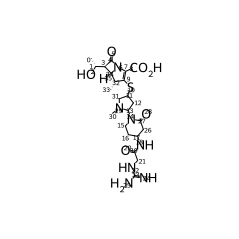 C[C@@H](O)[C@H]1C(=O)N2C(C(=O)O)=C(S[C@H]3CC(N4CC[C@H](NC(=O)CNC(=N)N)CC4=O)N(C)C3)[C@H](C)[C@H]12